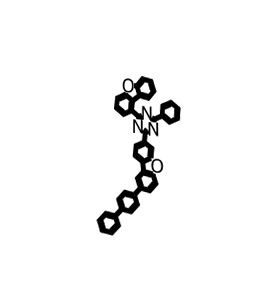 c1ccc(-c2ccc(-c3ccc4oc5cc(-c6nc(-c7ccccc7)nc(-c7cccc8oc9ccccc9c78)n6)ccc5c4c3)cc2)cc1